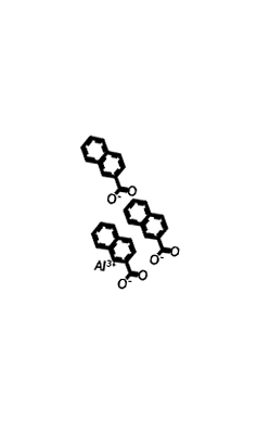 O=C([O-])c1ccc2ccccc2c1.O=C([O-])c1ccc2ccccc2c1.O=C([O-])c1ccc2ccccc2c1.[Al+3]